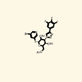 CC(=O)OCC1O[C@H](Sc2cncc(Br)c2)C(OC(C)=O)[C@@H](n2cc(-c3cc(F)c(F)c(F)c3)nn2)[C@H]1OC(C)=O